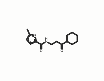 Cc1ccc(C(=O)NCCC(=O)C2CCCCC2)s1